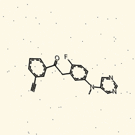 C#Cc1cccc(C(=O)Cc2cc(N(C)c3cncnc3)ccc2F)c1